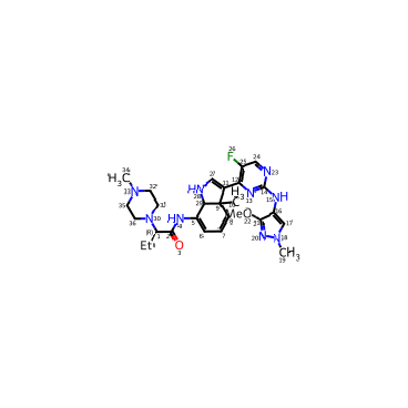 CC[C@H](C(=O)NC1=CC=CC2(C)C(c3nc(Nc4cn(C)nc4OC)ncc3F)=CNC12)N1CCN(C)CC1